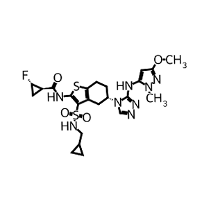 COc1cc(Nc2nncn2[C@H]2CCc3sc(NC(=O)[C@H]4C[C@@H]4F)c(S(=O)(=O)NCC4CC4)c3C2)n(C)n1